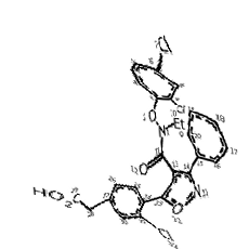 CCN(Oc1ccc(Cl)cc1Cl)C(=O)c1c(-c2ccccc2)noc1-c1ccc(CC(=O)O)cc1Cl